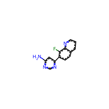 Nc1cc(-c2ccc3cccnc3c2F)ncn1